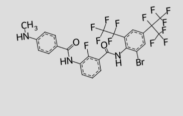 CNc1ccc(C(=O)Nc2cccc(C(=O)Nc3c(Br)cc(C(F)(C(F)(F)F)C(F)(F)F)cc3C(F)(F)C(F)(F)F)c2F)cc1